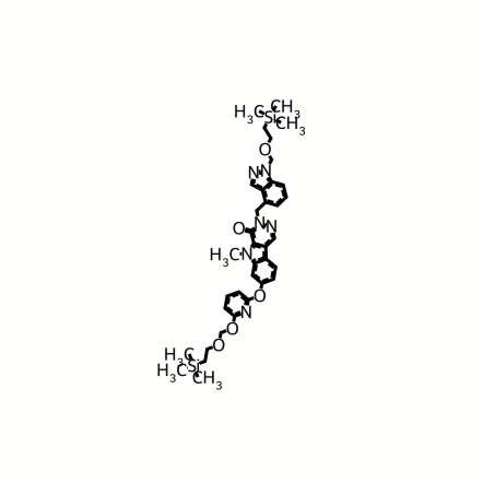 Cn1c2cc(Oc3cccc(OCOCC[Si](C)(C)C)n3)ccc2c2cnn(Cc3cccc4c3cnn4COCC[Si](C)(C)C)c(=O)c21